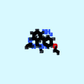 CCOc1ccc(-c2c(N)ccc3nc(C)nc(NC)c23)cc1